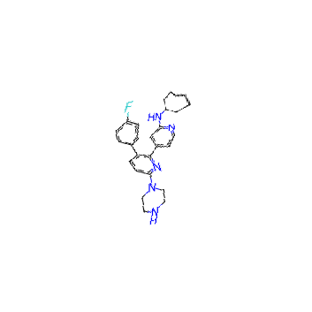 Fc1ccc(-c2ccc(N3CCNCC3)nc2-c2ccnc(NC3CCCCC3)c2)cc1